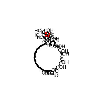 C[C@@H]1[C@H](O)[C@@H](C)/C=C/C=C/C=C/C=C/C=C/C=C/C=C/[C@H](O[C@@H]2O[C@H](C)[C@@H](O)[C@H](N)[C@@H]2O)C[C@@H]2O[C@](O)(C[C@@H](O)C[C@@H](O)[C@H](O)CC[C@@H](O)C[C@@H](O)CC(=O)O[C@H]1C)C[C@H](O)[C@H]2NC(=O)N1C[C@@](O)(C(=O)O)[C@@](O)(C(=O)O)C1